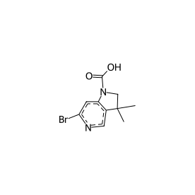 CC1(C)CN(C(=O)O)c2cc(Br)ncc21